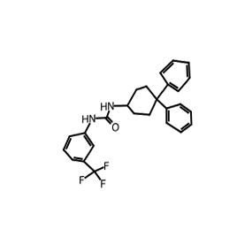 O=C(Nc1cccc(C(F)(F)F)c1)NC1CCC(c2ccccc2)(c2ccccc2)CC1